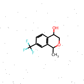 CC1OCC(O)c2ccc(C(F)(F)F)cc21